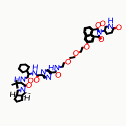 C[C@@H]1[C@H]2CCC[C@H]2CN1C(=O)[C@@H](NC(=O)C(NC(=O)c1cnc(C(=O)NCCOCCOCCOc2cc3c4c(cccc4c2)C(=O)N(C2CCC(=O)NC2=O)C3=O)cn1)C1CCCCC1)C(C)(C)C